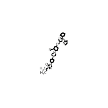 CCC(C)n1ncn(-c2ccc(N3CCN(c4ccc(OC[C@H]5CO[C@](Cn6nccn6)(c6ccccc6)C5)cc4C#N)CC3)cc2)c1=O